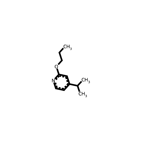 CCCOc1cc(C(C)C)ccn1